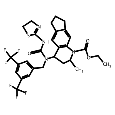 CCOC(=O)N1c2cc3c(cc2C(N(Cc2cc(C(F)(F)F)cc(C(F)(F)F)c2)C(=O)NC2=NCCS2)CC1C)CCC3